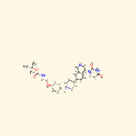 CC(C)(C)OC(=O)NCCO[C@H]1CC[C@H](CN2CCC(c3ccc4c(N5CCC(=O)NC5=O)cncc4c3)CC2)CC1